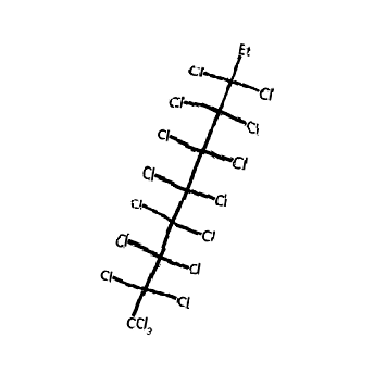 [CH2]CC(Cl)(Cl)C(Cl)(Cl)C(Cl)(Cl)C(Cl)(Cl)C(Cl)(Cl)C(Cl)(Cl)C(Cl)(Cl)C(Cl)(Cl)Cl